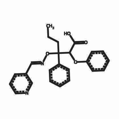 CCCC(ON=Cc1cccnc1)(c1ccccc1)C(Oc1ccccc1)C(=O)O